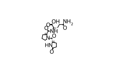 NC(=O)CC[C@H](NC(=O)[C@@H]1CCCN1C(=O)[C@@H]1CCC(=O)N1)C(=O)O